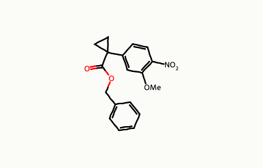 COc1cc(C2(C(=O)OCc3ccccc3)CC2)ccc1[N+](=O)[O-]